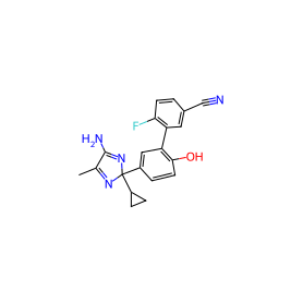 CC1=NC(c2ccc(O)c(-c3cc(C#N)ccc3F)c2)(C2CC2)N=C1N